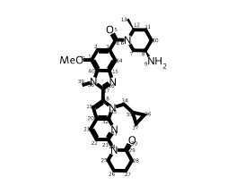 COc1cc(C(=O)N2C[C@H](N)CC[C@@H]2C)cc2nc(-c3cc4ccc(N5CCCCC5=O)nc4n3CC3CC3)n(C)c12